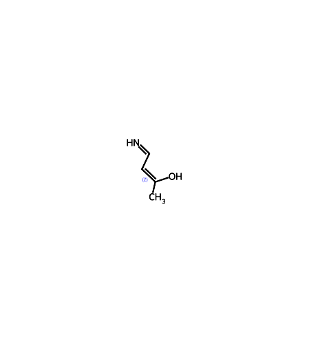 C/C(O)=C/C=N